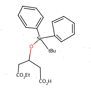 CCOC(=O)CC(CC(=O)O)O[Si](c1ccccc1)(c1ccccc1)C(C)(C)C